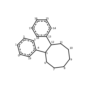 [c]1cccc(C2CCCCCCC2c2[c]cccc2)c1